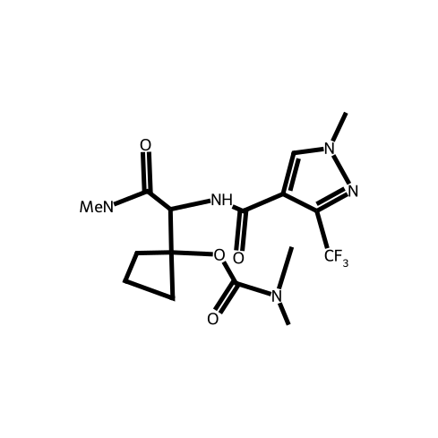 CNC(=O)C(NC(=O)c1cn(C)nc1C(F)(F)F)C1(OC(=O)N(C)C)CCC1